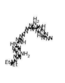 CCC(C)(CC)N=Nc1nc(N)n(-c2nnc(Nc3nc(/N=N/C/N=N/c4nc(N)n(-c5nnc(Nc6nc(/N=N/C)n[nH]6)nn5)n4)n[nH]3)nn2)n1